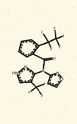 O=C(c1ccccc1C(F)(F)C(F)(F)F)N(c1ccsn1)c1n[nH]cc1C(F)(F)F